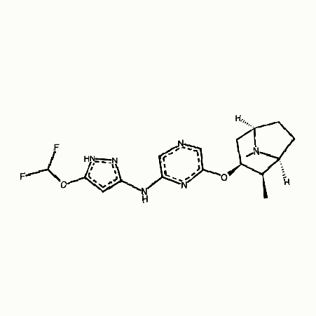 C[C@H]1[C@@H](Oc2cncc(Nc3cc(OC(F)F)[nH]n3)n2)C[C@H]2CC[C@@H]1N2C